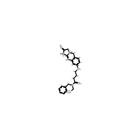 O=C(O)CN(Cc1ccccc1)C(=O)CCCOc1ccc2c(c1)N=C1NC(=O)CN1C2